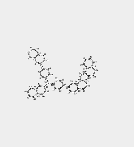 c1ccc2cc(-c3ccc(N(c4ccc(-c5ccc6ccc7c8ccc9ccccc9c8oc7c6c5)cc4)c4ccc5ccccc5c4)cc3)ccc2c1